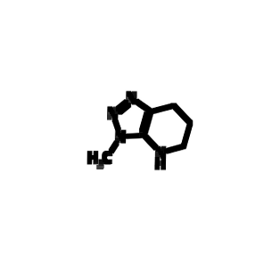 Cn1nnc2c1NCCC2